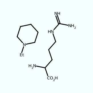 CCN1CCCCC1.N=C(N)NCCCC(N)C(=O)O